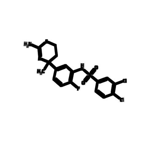 CC1(c2ccc(F)c(NS(=O)(=O)c3ccc(Cl)c(Cl)c3)c2)CCSC(N)=N1